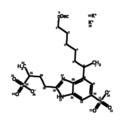 CCCCCCCCCCCCCCCC(C)c1cc(S(=O)(=O)[O-])cc2[nH]c(CCC(C)S(=O)(=O)[O-])nc12.[K+].[K+]